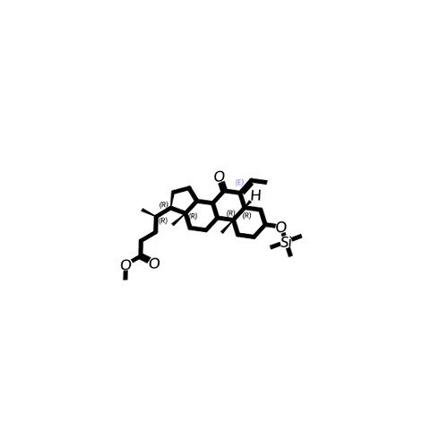 C/C=C1/C(=O)C2C3CC[C@H]([C@H](C)CCC(=O)OC)[C@@]3(C)CCC2[C@@]2(C)CCC(O[Si](C)(C)C)C[C@@H]12